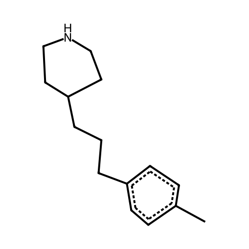 Cc1ccc(CCCC2CCNCC2)cc1